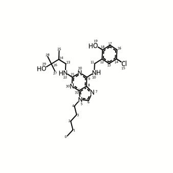 CCCCCn1cnc2c(NCc3cc(Cl)ccc3O)nc(NCC(C)C(C)(C)O)nc21